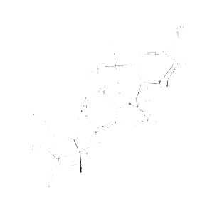 CCOC[C@](C)(Oc1ncnc2c1cnn2-c1ncc(Cl)cc1C(F)(F)F)C(=O)O